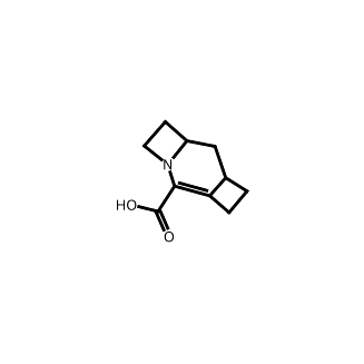 O=C(O)C1=C2CCC2CC2CCN12